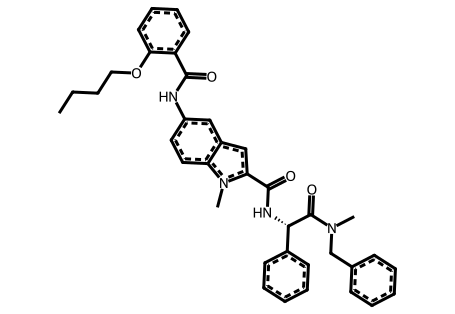 CCCCOc1ccccc1C(=O)Nc1ccc2c(c1)cc(C(=O)N[C@H](C(=O)N(C)Cc1ccccc1)c1ccccc1)n2C